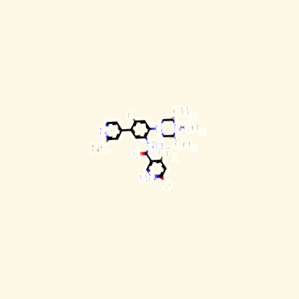 C[C@@H]1CN(c2cc(F)c(-c3ccnc(C#N)c3)cc2NC(=O)c2c[nH]c(=O)cc2C(F)(F)F)C[C@H](C)N1C